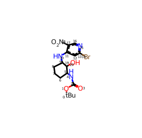 CC(C)(C)OC(=O)NC1CCCC(Nc2cc(Br)ncc2[N+](=O)[O-])C1O